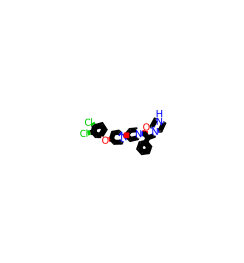 O=C(C(CN1CCNCC1)c1ccccc1)N1CCC(N2CCC(Oc3ccc(Cl)c(Cl)c3)CC2)CC1